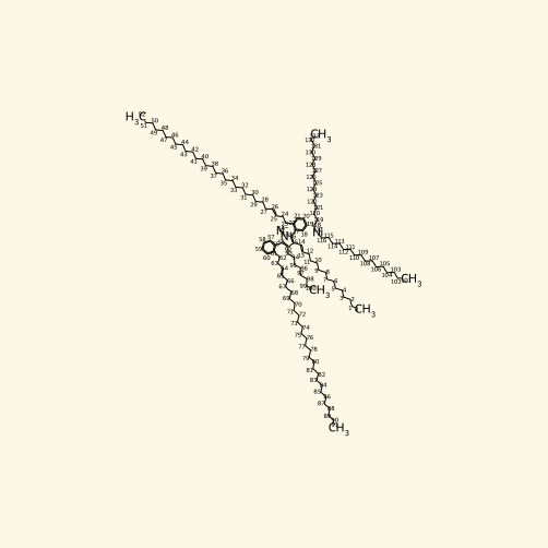 CCCCCCCCCCCCCC=CC1=C(c2ccccc2CCC=CCCCCCCCCCCCCCCCCCCCCCCCCCC)[N+](=[N-])C(c2ccccc2CCC=CCCCCCCCCCCCCCCCCCCCCCCCCCC)=C1CCCCCCCC.CCCCCCCCCCCCCCC[CH2][Ni][CH2]CCCCCCCCCCCCCCC